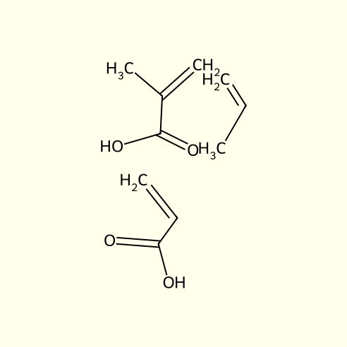 C=C(C)C(=O)O.C=CC.C=CC(=O)O